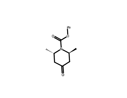 CC(C)OC(=O)N1[C@@H](C)CC(=O)C[C@@H]1C